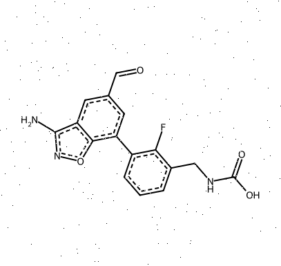 Nc1noc2c(-c3cccc(CNC(=O)O)c3F)cc(C=O)cc12